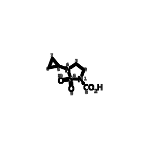 O=C(O)N1CCN(C2CC2)S1(=O)=O